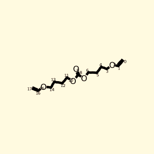 C=COCCCCOC(=O)OCCCCOC=C